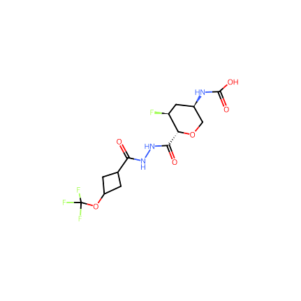 O=C(O)N[C@H]1CO[C@H](C(=O)NNC(=O)C2CC(OC(F)(F)F)C2)[C@@H](F)C1